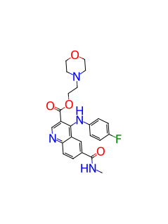 CNC(=O)c1ccc2ncc(C(=O)OCCN3CCOCC3)c(Nc3ccc(F)cc3)c2c1